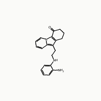 Nc1ccccc1NCCc1c2c(n3ccccc13)C(=O)CCC2